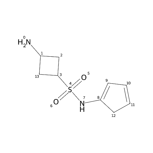 NC1CC(S(=O)(=O)NC2=CC=CC2)C1